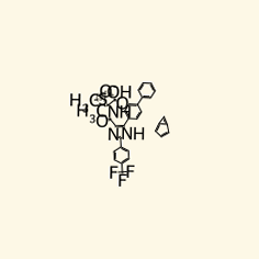 C[S@@+]([O-])C(C)(NC(=O)c1nc(-c2ccc(C(F)(F)F)cc2)[nH]c1-c1ccc(-c2ccccc2)cc1)C(=O)O.c1cc2cc-2c1